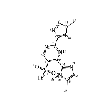 CCS(=O)(=O)c1cnc(-c2ncn(C)n2)nc1-c1ncc(I)n1C